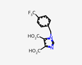 O=C(O)c1ncn(Cc2ccc(C(F)(F)F)cc2)c1C(=O)O